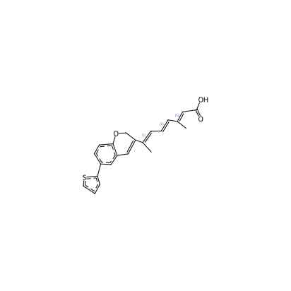 CC(/C=C/C=C(\C)C1=Cc2cc(-c3cccs3)ccc2OC1)=C\C(=O)O